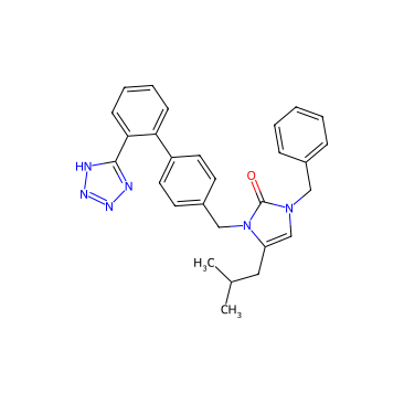 CC(C)Cc1cn(Cc2ccccc2)c(=O)n1Cc1ccc(-c2ccccc2-c2nnn[nH]2)cc1